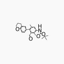 Cc1cc(NC(=O)OC(C)(C)C)c(C)c(C=O)c1-c1ccc2c(c1)CCCO2